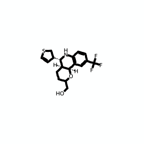 OCC1CC[C@@H]2[C@H](O1)c1cc(C(F)(F)F)ccc1N[C@H]2C1C=CSC1